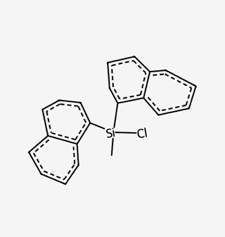 C[Si](Cl)(c1cccc2ccccc12)c1cccc2ccccc12